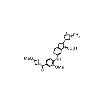 COc1cc(C(=O)N2CC(OC)C2)ccc1Nc1cc2c(cn1)cc(-c1cnn(C)c1)n2C(=O)O